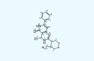 CCC(NC(=O)C1CCCCC1C)c1nnc(-c2ccccc2)[nH]c1=O